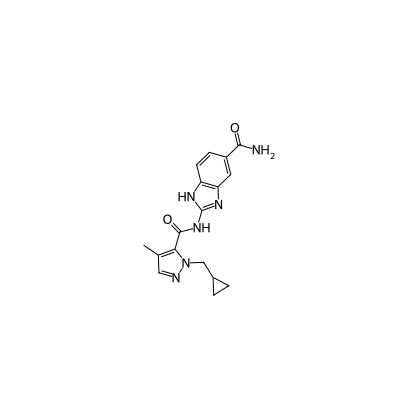 Cc1cnn(CC2CC2)c1C(=O)Nc1nc2cc(C(N)=O)ccc2[nH]1